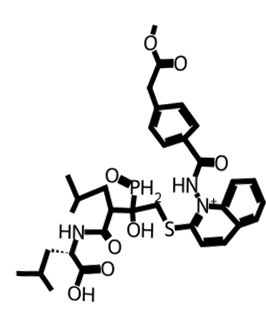 COC(=O)Cc1ccc(C(=O)N[n+]2c(SCC(O)([PH2]=O)C(CC(C)C)C(=O)N[C@@H](CC(C)C)C(=O)O)ccc3ccccc32)cc1